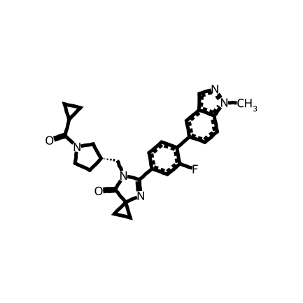 Cn1ncc2cc(-c3ccc(C4=NC5(CC5)C(=O)N4C[C@@H]4CCN(C(=O)C5CC5)C4)cc3F)ccc21